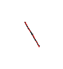 CC(C)CCCCCCCCCCCCCCCCCOCCCCCCCCCCCCCCCCCC(C)C